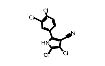 N#Cc1c(-c2ccc(Cl)c(Cl)c2)[nH]c(Cl)c1Cl